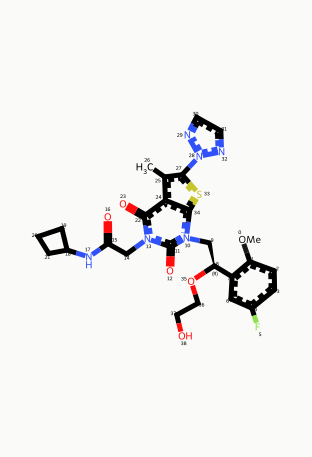 COc1ccc(F)cc1[C@H](Cn1c(=O)n(CC(=O)NC2CCC2)c(=O)c2c(C)c(-n3nccn3)sc21)OCCO